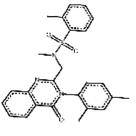 Cc1ccc(-n2c(CN(C)S(=O)(=O)c3ccccc3C)nc3ccccc3c2=O)c(C)c1